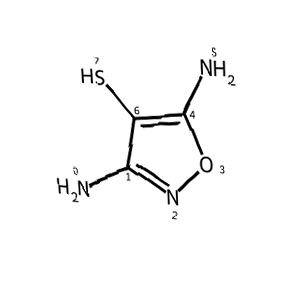 Nc1noc(N)c1S